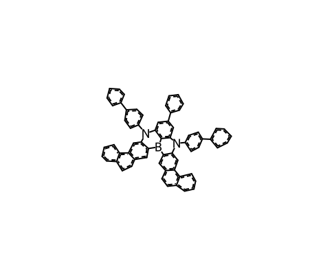 c1ccc(-c2ccc(N3c4cc5c(ccc6ccccc65)cc4B4c5cc6ccc7ccccc7c6cc5N(c5ccc(-c6ccccc6)cc5)c5cc(-c6ccccc6)cc3c54)cc2)cc1